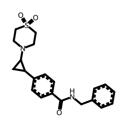 O=C(NCc1ccccc1)c1ccc(C2CC2N2CCS(=O)(=O)CC2)cc1